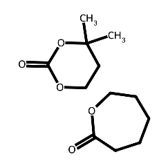 CC1(C)CCOC(=O)O1.O=C1CCCCCO1